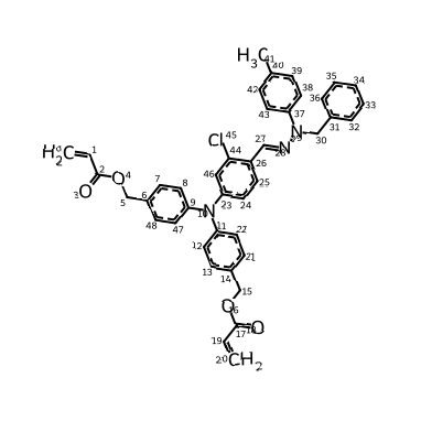 C=CC(=O)OCc1ccc(N(c2ccc(COC(=O)C=C)cc2)c2ccc(C=NN(Cc3ccccc3)c3ccc(C)cc3)c(Cl)c2)cc1